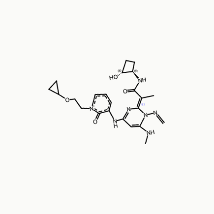 C=NN1C(NC)=CC(Nc2cccn(CCOC3CC3)c2=O)=N/C1=C(/C)C(=O)N[C@@H]1CC[C@H]1O